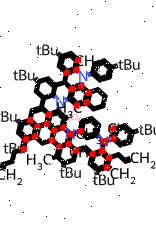 C=CCC/C=C/C1=CCCC(C2=C(C)C(C(C)(C)C)CC(/C=C/C(CC=C)C(C=C)CC=C)C2N2c3cc(N(c4ccc(C(C)(C)C)cc4)c4ccc(C(C)(C)C)cc4)ccc3B3c4ccc(N(c5ccc(C(C)(C)C)cc5)c5ccc(C(C)(C)C)cc5)cc4N(C4C(C(/C=C/C5=C(C)CCCC5)CC=C)=CC(C(C)(C)C)CC4C4=CCCC(C5CCC(C)=C(C)C5)C4)c4cc(-c5cc(C(C)(C)C)cc(C(C)(C)C)c5)cc2c43)C1